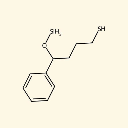 [SiH3]OC(CCCS)c1ccccc1